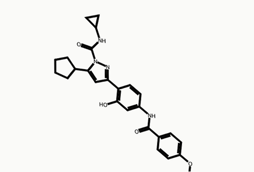 CCOc1ccc(C(=O)Nc2ccc(-c3cc(C4CCCC4)n(C(=O)NC4CC4)n3)c(O)c2)cc1